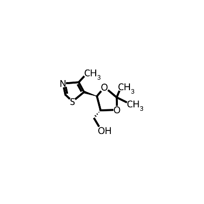 Cc1ncsc1[C@H]1OC(C)(C)O[C@@H]1CO